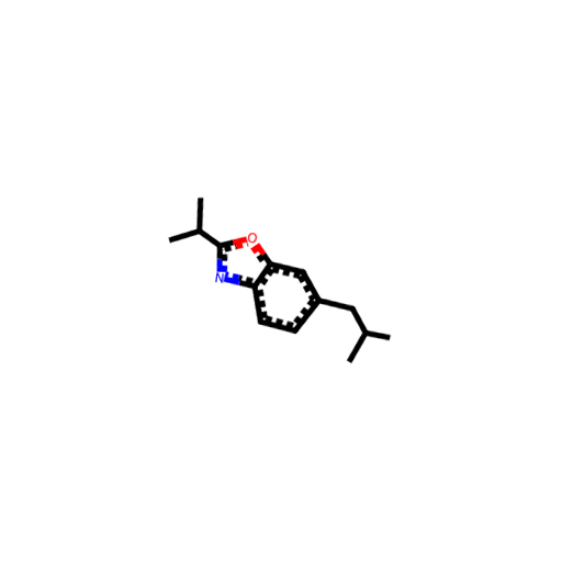 CC(C)Cc1ccc2nc(C(C)C)oc2c1